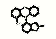 CC1=Cc2c(cccc2N2c3ccccc3Sc3cccc(O)c32)C1